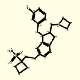 NS(=O)(=O)C1(CCc2ccc3c(c2)C(Cc2cccc(F)c2)C(CN2CCC2)C3)CCC1